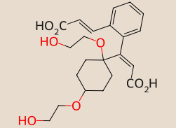 O=C(O)C=Cc1ccccc1C(=CC(=O)O)C1(OCCO)CCC(OCCO)CC1